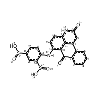 O=C1c2ccccc2-c2cc(=O)[nH]c3ccc(Nc4ccc(S(=O)O)cc4S(=O)O)c1c23